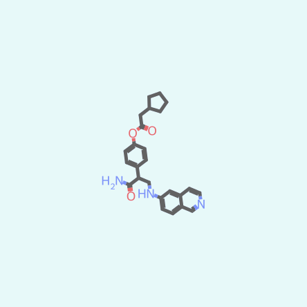 NC(=O)C(CNc1ccc2cnccc2c1)c1ccc(OC(=O)CC2CCCC2)cc1